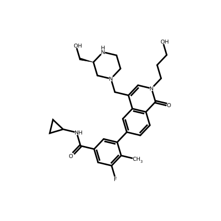 Cc1c(F)cc(C(=O)NC2CC2)cc1-c1ccc2c(=O)n(CCCO)cc(CN3CCN[C@H](CO)C3)c2c1